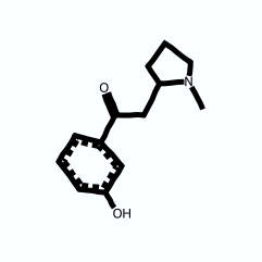 CN1CCCC1CC(=O)c1cccc(O)c1